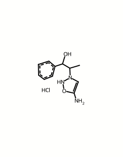 CC(C(O)c1ccccc1)N1C=C(N)ON1.Cl